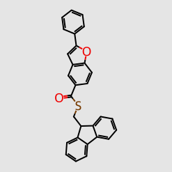 O=C(SCC1c2ccccc2-c2ccccc21)c1ccc2oc(-c3ccccc3)cc2c1